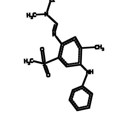 CCN(C)C=Nc1cc(C)c(Nc2ccccc2)cc1S(C)(=O)=O